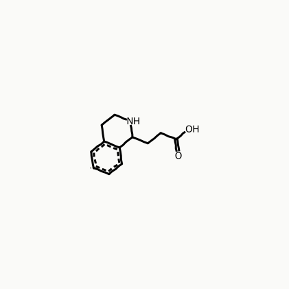 O=C(O)CCC1NCCc2c[c]ccc21